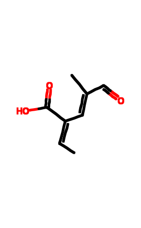 C/C=C(\C=C(/C)C=O)C(=O)O